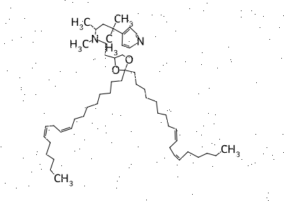 CCCCC/C=C\C/C=C\CCCCCCCCC1(CCCCCCCC/C=C\C/C=C\CCCCC)OCC(CCN(C)C(C)CC(C)(C)c2ccncc2)O1